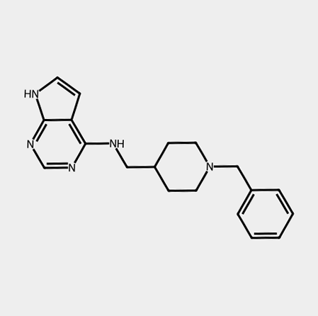 c1ccc(CN2CCC(CNc3ncnc4[nH]ccc34)CC2)cc1